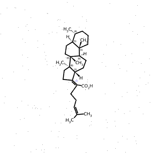 CC(C)=CCC/C(C(=O)O)=C1\CC[C@]2(C)[C@@H]1CC[C@@H]1[C@@]3(C)CCC[C@@H](C)[C@@H]3CC[C@]12C